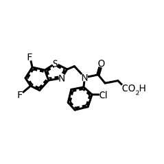 O=C(O)CCC(=O)N(Cc1nc2cc(F)cc(F)c2s1)c1ccccc1Cl